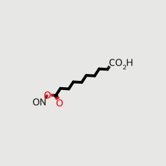 O=NOC(=O)CCCCCCCCC(=O)O